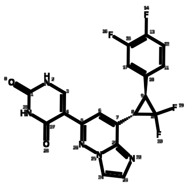 O=c1[nH]cc(-c2cc([C@@H]3[C@@H](c4ccc(F)c(F)c4)C3(F)F)c3nccn3n2)c(=O)[nH]1